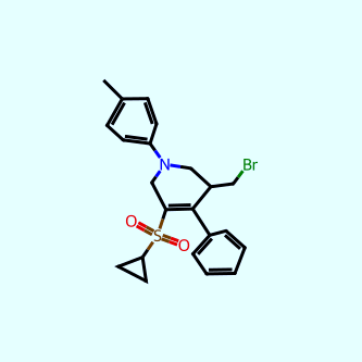 Cc1ccc(N2CC(S(=O)(=O)C3CC3)=C(c3ccccc3)C(CBr)C2)cc1